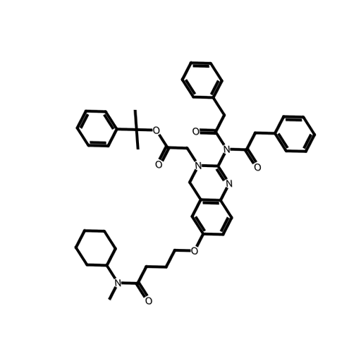 CN(C(=O)CCCOc1ccc2c(c1)CN(CC(=O)OC(C)(C)c1ccccc1)C(N(C(=O)Cc1ccccc1)C(=O)Cc1ccccc1)=N2)C1CCCCC1